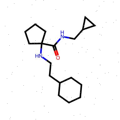 O=C(NCC1CC1)C1(NCCC2CCCCC2)CCCC1